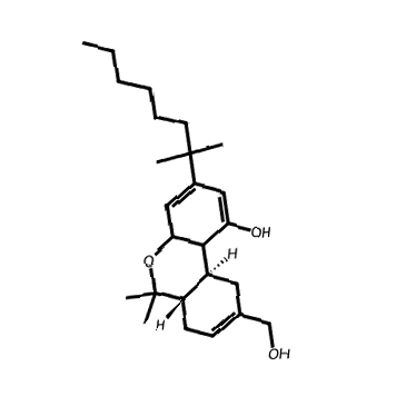 CCCCCCC(C)(C)C1=CC2OC(C)(C)[C@H]3CC=C(CO)C[C@@H]3C2C(O)=C1